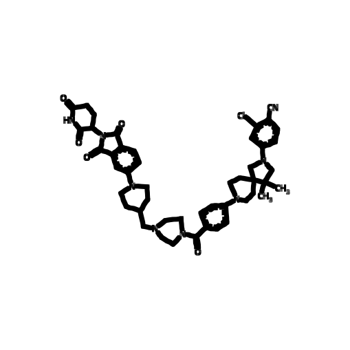 CC1(C)CN(c2ccc(C#N)c(Cl)c2)CC12CCN(c1ccc(C(=O)N3CCN(CC4CCN(c5ccc6c(c5)C(=O)N(C5CCC(=O)NC5=O)C6=O)CC4)CC3)cc1)CC2